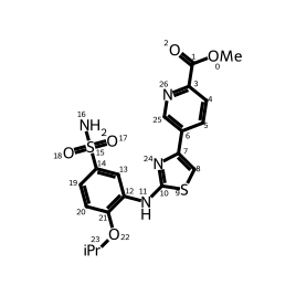 COC(=O)c1ccc(-c2csc(Nc3cc(S(N)(=O)=O)ccc3OC(C)C)n2)cn1